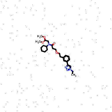 CCn1cc(-c2cccc(CCOCCC(=O)N(CC(OC)OC)C3CCCCC3)c2)nn1